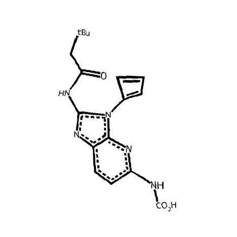 CC(C)(C)CC(=O)Nc1nc2ccc(NC(=O)O)nc2n1C1=CC=C1